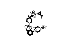 Cc1cccc(N2CCN(C(C)C)CC2)c1NC(=O)N1CCC(C)(c2noc([C@@H]3C[C@@H]3F)n2)CC1